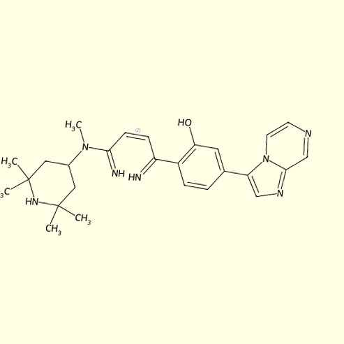 CN(C(=N)/C=C\C(=N)c1ccc(-c2cnc3cnccn23)cc1O)C1CC(C)(C)NC(C)(C)C1